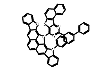 c1ccc(-c2cccc(-c3nc(-n4c5c6oc7ccccc7c6cc6ccc7cc8c9ccccc9n(-c9ccccc9)c8c4c7c65)c4sc5ccc6ccccc6c5c4n3)c2)cc1